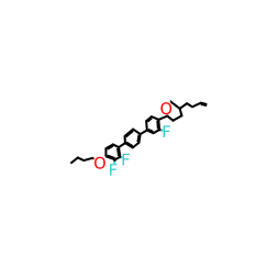 C=CCCC1CCC(c2ccc(-c3ccc(-c4ccc(OCCCC)c(F)c4F)cc3)cc2F)OC1